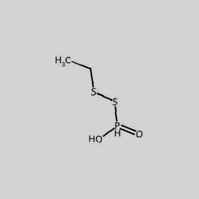 CCSS[PH](=O)O